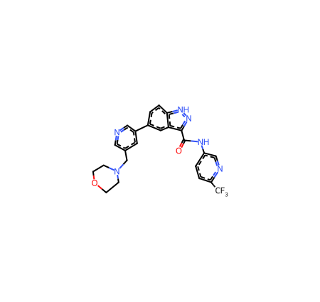 O=C(Nc1ccc(C(F)(F)F)nc1)c1n[nH]c2ccc(-c3cncc(CN4CCOCC4)c3)cc12